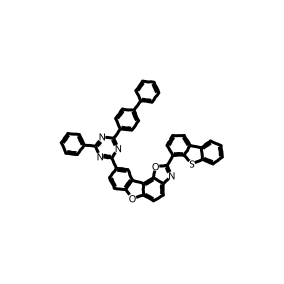 c1ccc(-c2ccc(-c3nc(-c4ccccc4)nc(-c4ccc5oc6ccc7nc(-c8cccc9c8sc8ccccc89)oc7c6c5c4)n3)cc2)cc1